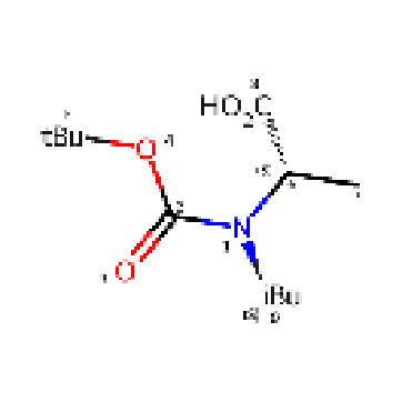 CC[C@H](C)N(C(=O)OC(C)(C)C)[C@@H](C)C(=O)O